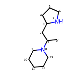 [CH2]C(CC1CCCN1)N1CCCCC1